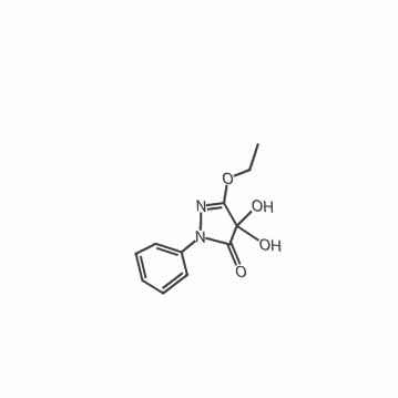 CCOC1=NN(c2ccccc2)C(=O)C1(O)O